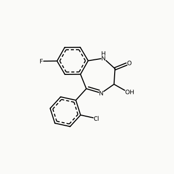 O=C1Nc2ccc(F)cc2C(c2ccccc2Cl)=NC1O